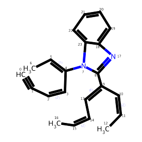 C#C/C=C\C(=C/C)n1c(C(/C=C\C)=C/C=C\C)nc2ccccc21